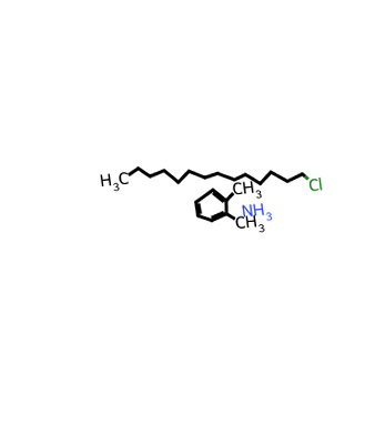 CCCCCCCCCCCCCCCl.Cc1ccccc1C.N